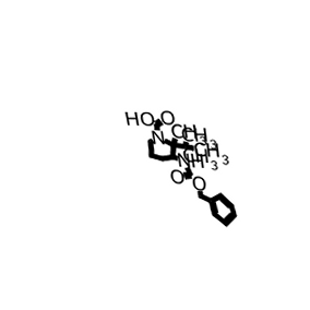 CC(C)(C)C1(C)C(NC(=O)OCc2ccccc2)CCCN1C(=O)O